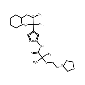 C[C@H](OC1CCCCO1)C(C)(C)c1cc(NC(=O)C(C)(C)SCC[C@@H]2CCOC2)on1